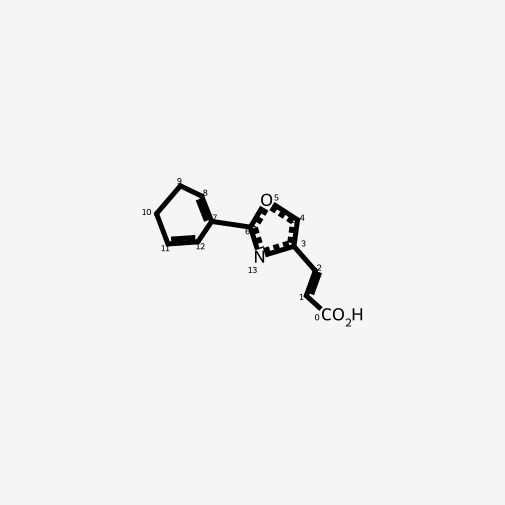 O=C(O)C=Cc1coc(C2=CCCC=C2)n1